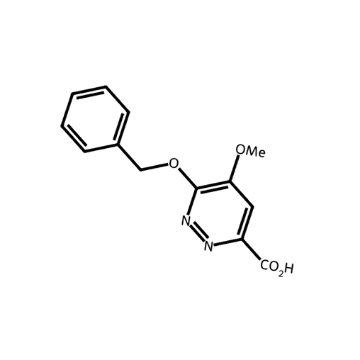 COc1cc(C(=O)O)nnc1OCc1ccccc1